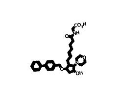 O=C(O)CNC(=O)CCC/C=C/CC1C(OCc2ccc(-c3ccccc3)cc2)CC(O)C1N1CCOCC1